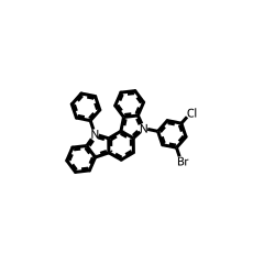 Clc1cc(Br)cc(-n2c3ccccc3c3c2ccc2c4ccccc4n(-c4ccccc4)c23)c1